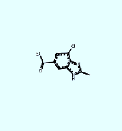 CCC(=O)c1cc(Cl)c2nc(C)[nH]c2c1